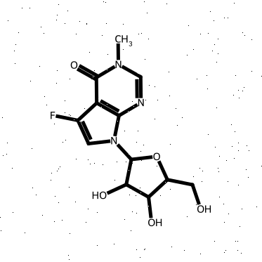 Cn1cnc2c(c(F)cn2C2OC(CO)C(O)C2O)c1=O